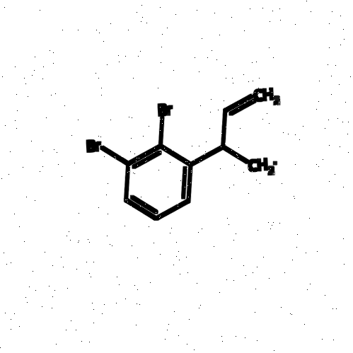 [CH2]C(C=C)c1cccc(Br)c1Br